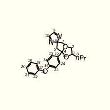 CCCC1COC(CC2(C)N=CC=N2)(c2ccc(Oc3ccccc3)cc2)O1